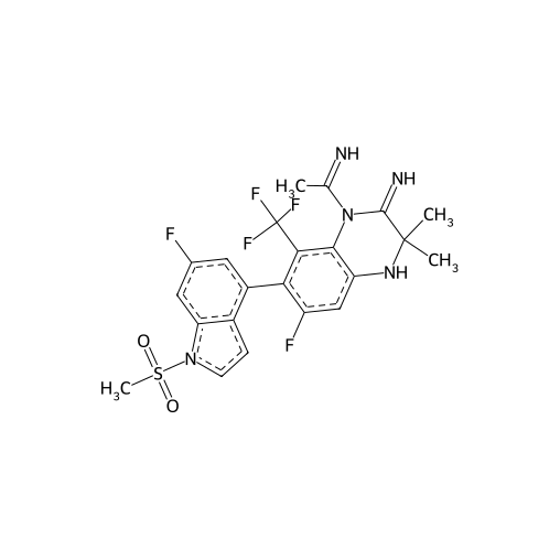 CC(=N)N1C(=N)C(C)(C)Nc2cc(F)c(-c3cc(F)cc4c3ccn4S(C)(=O)=O)c(C(F)(F)F)c21